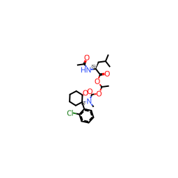 CC(=O)N[C@@H](CC(C)C)C(=O)OC(C)OC(=O)N(C)[C@]1(c2ccccc2Cl)CCCCC1=O